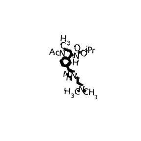 CC(=O)N1c2ccc(-c3cn(CCCN(C)C)nn3)cc2[C@H](NC(=O)OC(C)C)C[C@@H]1C